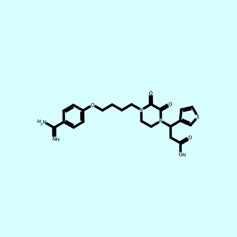 N=C(N)c1ccc(OCCCCN2CCN(C(CC(=O)O)c3ccsc3)C(=O)C2=O)cc1